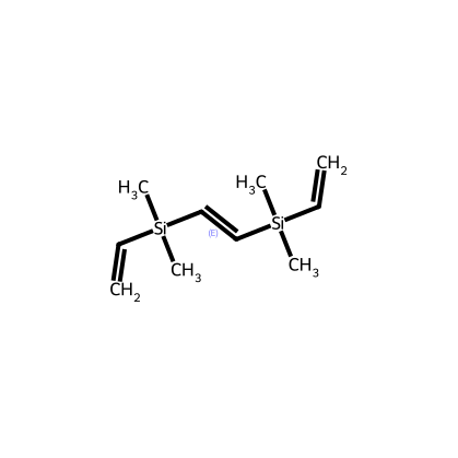 C=C[Si](C)(C)/C=C/[Si](C)(C)C=C